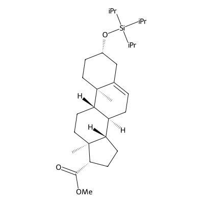 COC(=O)[C@H]1CC[C@H]2[C@@H]3CC=C4C[C@@H](O[Si](C(C)C)(C(C)C)C(C)C)CC[C@]4(C)[C@H]3CC[C@]12C